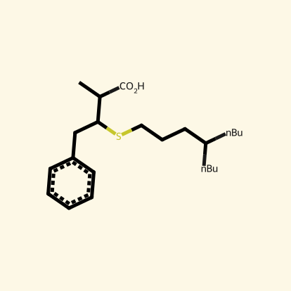 CCCCC(CCCC)CCCSC(Cc1ccccc1)C(C)C(=O)O